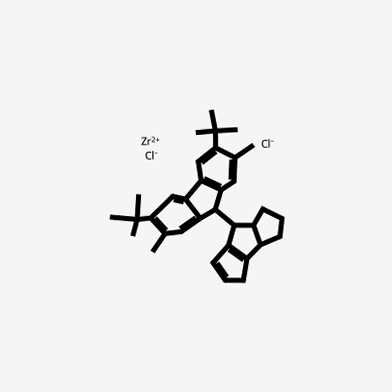 Cc1cc2c(cc1C(C)(C)C)-c1cc(C(C)(C)C)c(C)cc1C2C1C2=C(CC=C2)C2CCCC21.[Cl-].[Cl-].[Zr+2]